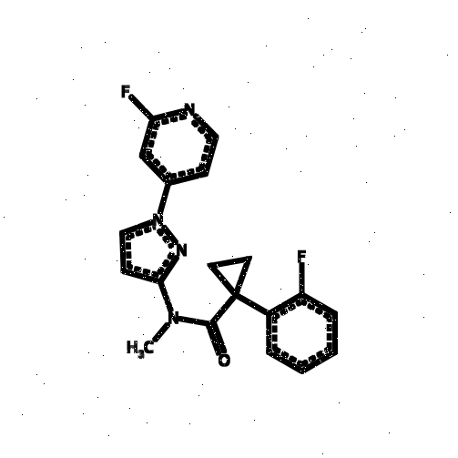 CN(C(=O)C1(c2ccccc2F)CC1)c1ccn(-c2ccnc(F)c2)n1